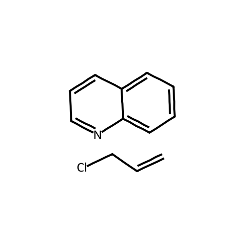 C=CCCl.c1ccc2ncccc2c1